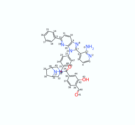 Nc1ncccc1-c1nc2ccc(-c3ccccc3)nc2n1-c1ccc(CN2C3CCC2CN(C(=O)c2ccc(C=O)c(O)c2)C3)cc1